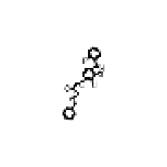 O=C(COc1ccc2c(-c3ccccc3F)noc2c1Cl)OOCc1ccccc1